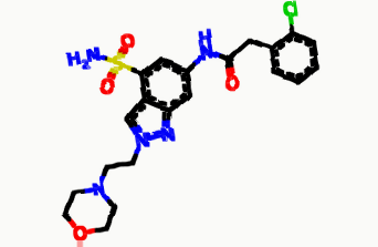 NS(=O)(=O)c1cc(NC(=O)Cc2ccccc2Cl)cc2nn(CCN3CCOCC3)cc12